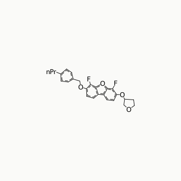 CCCc1ccc(COc2ccc3c(oc4c(F)c(OC5CCOC5)ccc43)c2F)cc1